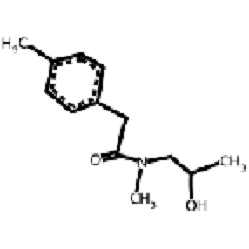 Cc1ccc(CC(=O)N(C)CC(C)O)cc1